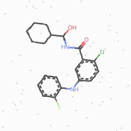 O=C(NC(O)C1CCCCC1)c1cc(Nc2ccccc2F)ccc1Cl